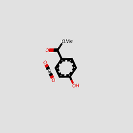 COC(=O)c1ccc(O)cc1.O=[Si]=O